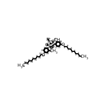 CCCCCCCCCCOc1ccc(S(=O)(=O)C(=[N+]=[N-])S(=O)(=O)c2ccc(OCCCCCCCCCC)cc2C)c(C)c1